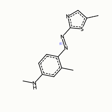 CNc1ccc(/N=N/c2ncc(C)s2)c(C)c1